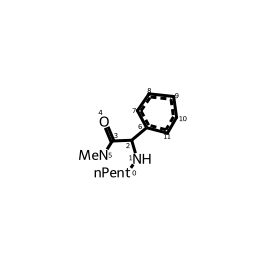 CCCCCNC(C(=O)NC)c1ccccc1